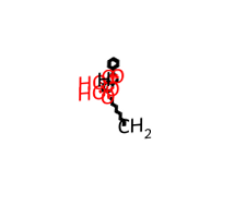 C=CCCCCCCO[C@@H]1OC2COC(c3ccccc3)O[C@@H]2[C@H](O)C1O